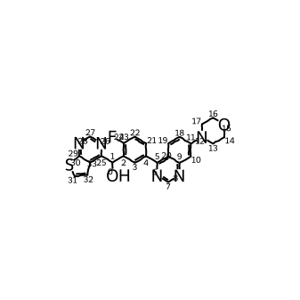 OC(c1cc(-c2ncnc3cc(N4CCOCC4)ccc23)ccc1F)c1ncnc2sccc12